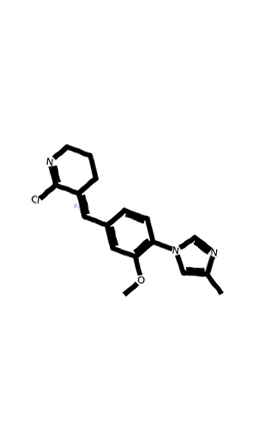 COc1cc(/C=C2\CCCN=C2Cl)ccc1-n1cnc(C)c1